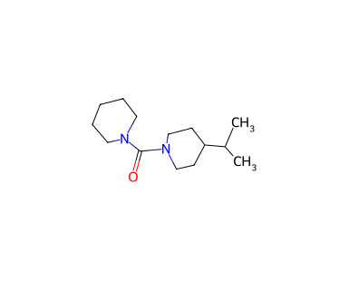 CC(C)C1CCN(C(=O)N2CCCCC2)CC1